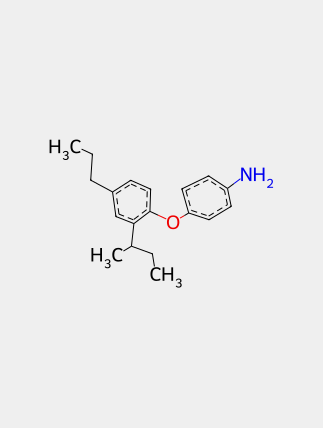 CCCc1ccc(Oc2ccc(N)cc2)c(C(C)CC)c1